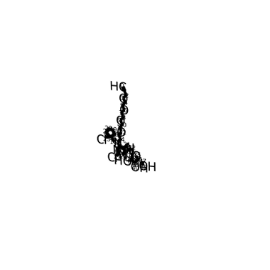 C#CCOCCOCCOCCOCCN(Cc1ccccc1Cl)c1nc(Cl)nc2c1cnn2[C@@H]1O[C@H](CO)[C@@H](O)[C@H]1O